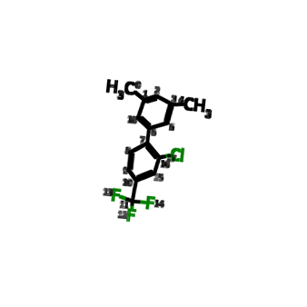 Cc1cc(C)cc(-c2ccc(C(F)(F)F)cc2Cl)c1